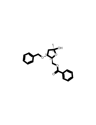 C[C@@]1(O)C[C@@H](OCc2ccccc2)[C@H](COC(=O)c2ccccc2)O1